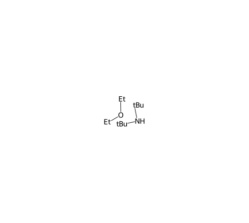 CC(C)(C)NC(C)(C)C.CCOCC